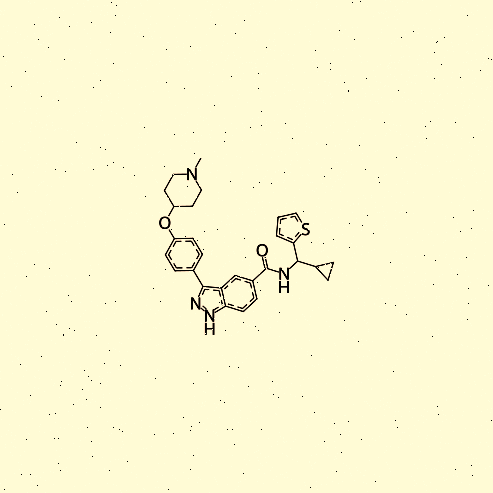 CN1CCC(Oc2ccc(-c3n[nH]c4ccc(C(=O)NC(c5cccs5)C5CC5)cc34)cc2)CC1